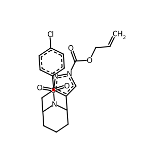 C=CCOC(=O)n1cc2c(n1)CC1CCCC2N1S(=O)(=O)c1ccc(Cl)cc1